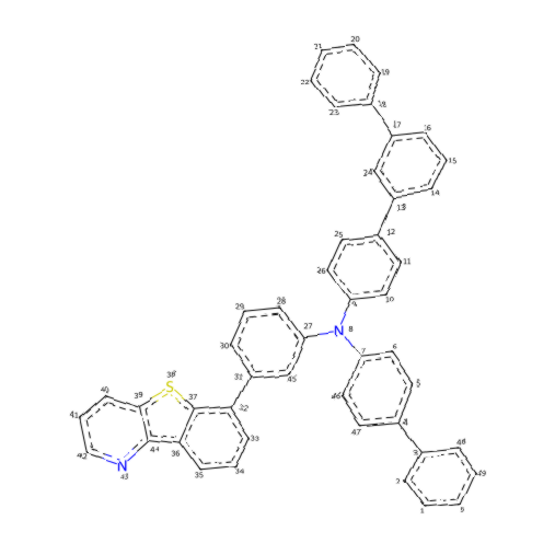 c1ccc(-c2ccc(N(c3ccc(-c4cccc(-c5ccccc5)c4)cc3)c3cccc(-c4cccc5c4sc4cccnc45)c3)cc2)cc1